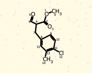 COC(=O)C(C=O)Cc1ccc(Cl)c(C)c1